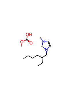 CCCCC(CC)CN1C=CN(C)C1.COC(=O)O